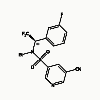 CCN([C@H](c1cccc(F)c1)C(F)(F)F)S(=O)(=O)c1cncc(C#N)c1